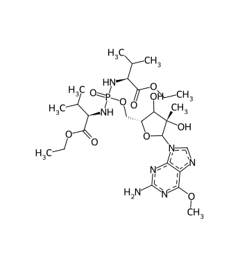 CCOC(=O)[C@@H](NP(=O)(N[C@@H](C(=O)OCC)C(C)C)OC[C@H]1OC(n2cnc3c(OC)nc(N)nc32)[C@@](C)(O)C1O)C(C)C